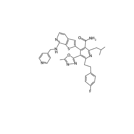 Cc1nnc(-c2c(CCc3ccc(F)cc3)nc(CC(C)C)c(C(N)=O)c2-c2cc3ccnc(NCc4ccncc4)c3s2)o1